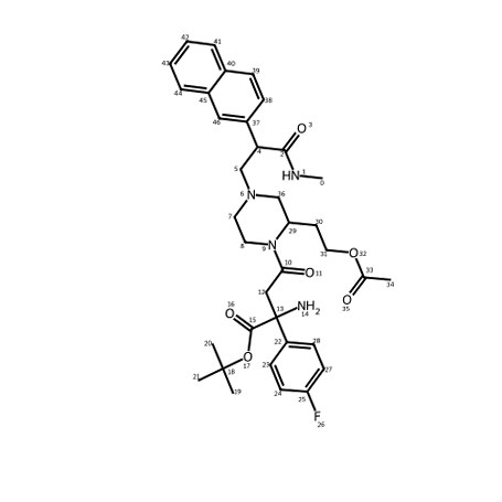 CNC(=O)C(CN1CCN(C(=O)CC(N)(C(=O)OC(C)(C)C)c2ccc(F)cc2)C(CCOC(C)=O)C1)c1ccc2ccccc2c1